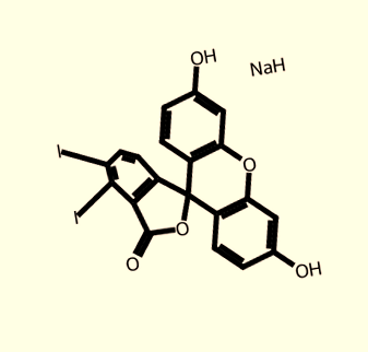 O=C1OC2(c3ccc(O)cc3Oc3cc(O)ccc32)c2ccc(I)c(I)c21.[NaH]